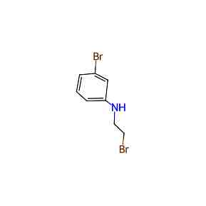 BrCCNc1cccc(Br)c1